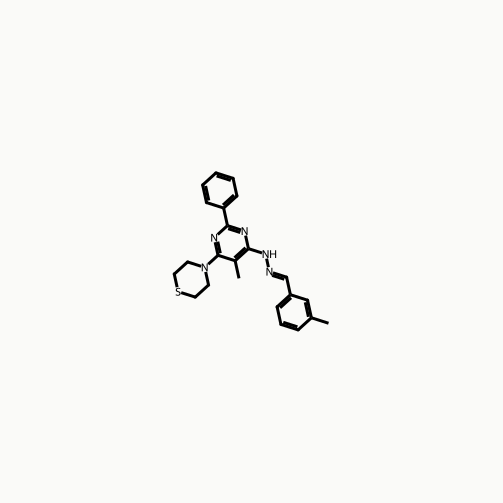 Cc1cccc(/C=N/Nc2nc(-c3ccccc3)nc(N3CCSCC3)c2C)c1